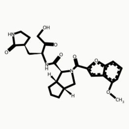 COc1cccc2oc(C(=O)N3C[C@@H]4CCC[C@@H]4[C@H]3C(=O)N[C@@H](C[C@@H]3CCNC3=O)C(=O)CO)cc12